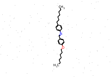 CCCCCCCOc1ccc(C=Nc2ccc(CCCCCCC)cc2)cc1